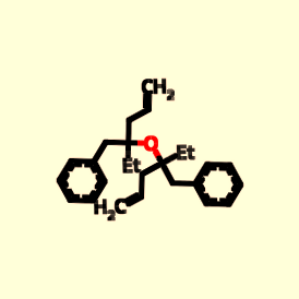 C=CCC(CC)(Cc1ccccc1)OC(CC)(CC=C)Cc1ccccc1